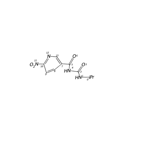 CC(C)NC(=O)NC(=O)c1ccc([N+](=O)[O-])nc1